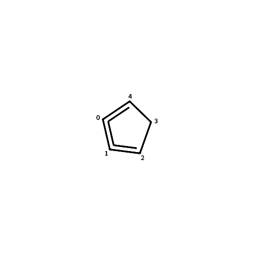 C1=C=CCC=1